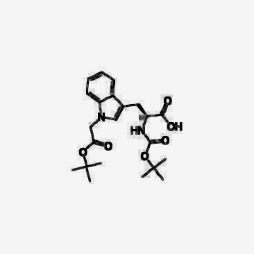 CC(C)(C)OC(=O)Cn1cc(C[C@H](NC(=O)OC(C)(C)C)C(=O)O)c2ccccc21